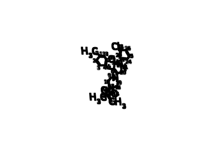 Cc1ccc(Cc2c(N3CCN(S(=O)(=O)N(C)C)CC3)cnn(-c3cccc(Cl)c3)c2=O)cc1